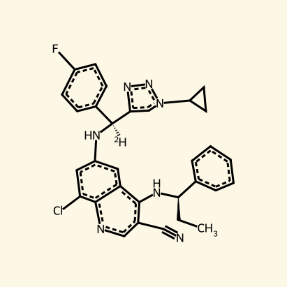 [2H][C@](Nc1cc(Cl)c2ncc(C#N)c(N[C@H](CC)c3ccccc3)c2c1)(c1ccc(F)cc1)c1cn(C2CC2)nn1